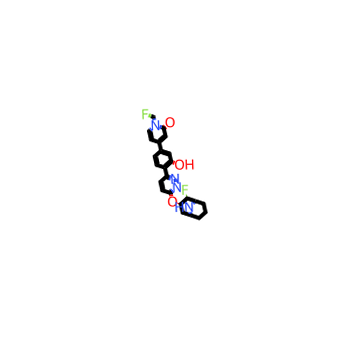 O=c1cc(-c2ccc(-c3ccc(O[C@H]4CC5CCCC(N5)[C@H]4F)nn3)c(O)c2)ccn1CF